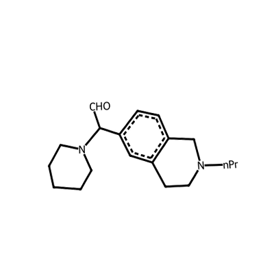 CCCN1CCc2cc(C(C=O)N3CCCCC3)ccc2C1